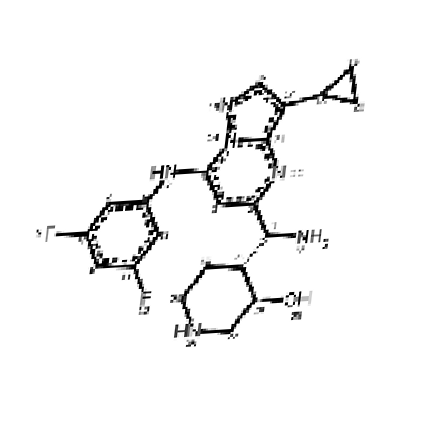 NC(c1cc(Nc2cc(F)cc(F)c2)n2ncc(C3CC3)c2n1)[C@H]1CCNC[C@@H]1O